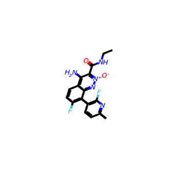 CCNC(=O)c1c(N)c2ccc(F)c(-c3ccc(C)nc3F)c2n[n+]1[O-]